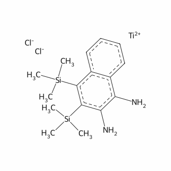 C[Si](C)(C)c1c(N)c(N)c2ccccc2c1[Si](C)(C)C.[Cl-].[Cl-].[Ti+2]